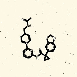 CC(=O)NCC1C=CC(c2cccc(NC(=O)C3(c4ccc5c(c4)OCO5)CC3)n2)=CC1